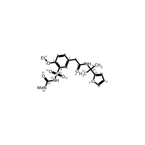 CCOc1ccc(CC(=O)NC(C)(C)c2ccco2)cc1S(=O)(=O)NC(=O)NC